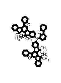 CC1(C)c2cc(N(c3ccc4c(c3)C(C)(C)c3c5c(c6oc7ccccc7c6c3-4)-c3ccccc3C5(C)C)c3cccc4c3oc3ccccc34)ccc2-c2c1c1c(c3c2oc2ccccc23)-c2ccccc2C1(C)C